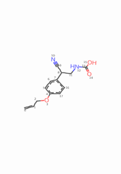 C=CCOc1ccc(C(C#N)CNC(=O)O)cc1